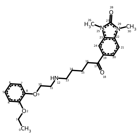 CCOc1ccccc1OCCNCCCCC(=O)c1ccc2c(c1)n(C)c(=O)n2C